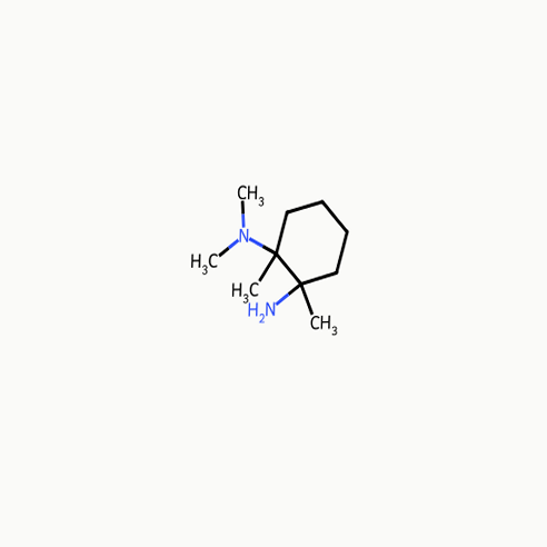 CN(C)C1(C)CCCCC1(C)N